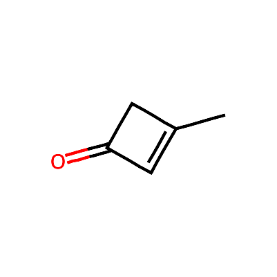 CC1=CC(=O)C1